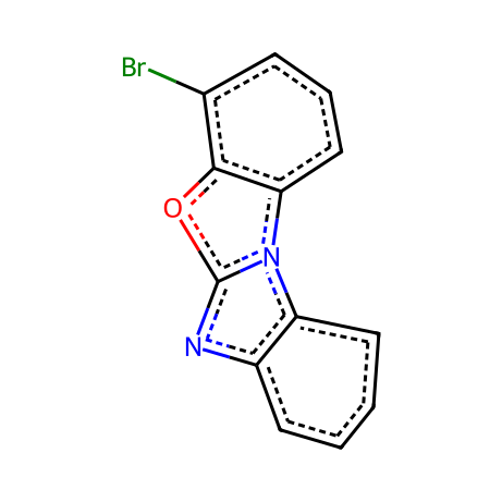 Brc1cccc2c1oc1nc3ccccc3n12